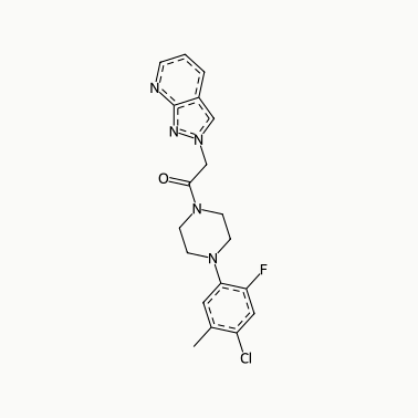 Cc1cc(N2CCN(C(=O)Cn3cc4cccnc4n3)CC2)c(F)cc1Cl